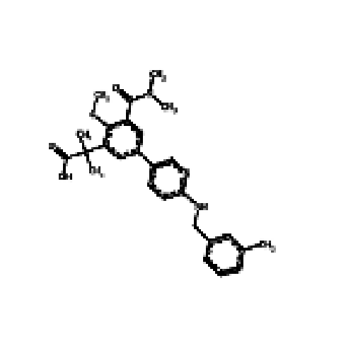 COc1c(C(=O)N(C)C)cc(-c2ccc(NCc3cccc(C)c3)nc2)cc1C(C)(C)C(=O)O